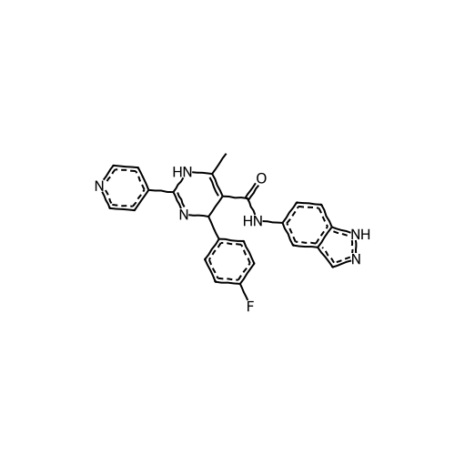 CC1=C(C(=O)Nc2ccc3[nH]ncc3c2)C(c2ccc(F)cc2)N=C(c2ccncc2)N1